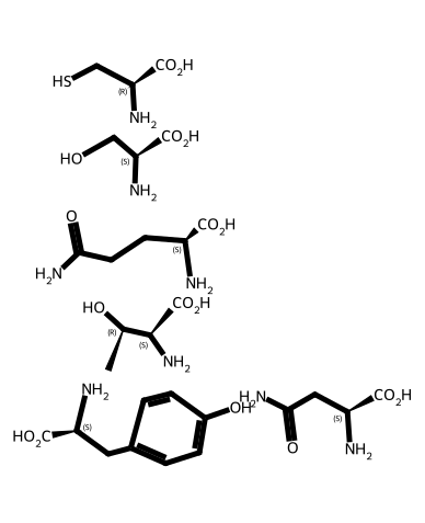 C[C@@H](O)[C@H](N)C(=O)O.NC(=O)CC[C@H](N)C(=O)O.NC(=O)C[C@H](N)C(=O)O.N[C@@H](CO)C(=O)O.N[C@@H](CS)C(=O)O.N[C@@H](Cc1ccc(O)cc1)C(=O)O